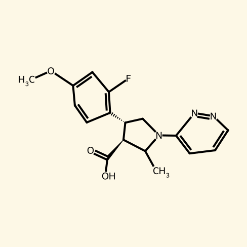 COc1ccc([C@@H]2CN(c3cccnn3)C(C)[C@H]2C(=O)O)c(F)c1